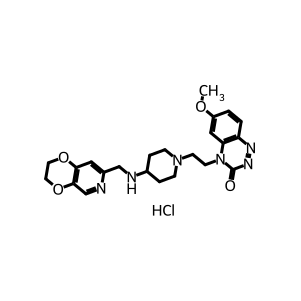 COc1ccc2nnc(=O)n(CCN3CCC(NCc4cc5c(cn4)OCCO5)CC3)c2c1.Cl